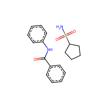 NS(=O)(=O)C1CCCC1.O=C(Nc1ccccc1)c1ccccc1